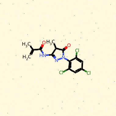 C=C(C)C(=O)NC1=NN(c2c(Cl)cc(Cl)cc2Cl)C(=O)C1C